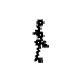 C=C(CCCCCOc1cccc(Sc2ccc3c(/C=C/c4ccccn4)n[nH]c3c2)c1C(=O)NC)NO